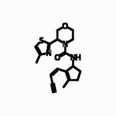 C#C/C=C\C1=C(C)CCC1NC(=O)N1CCOCC1c1nc(C)cs1